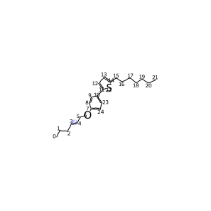 CCC/C=C/COc1ccc(-c2ccc(CCCCCCC)s2)cc1